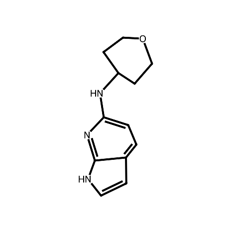 c1cc2ccc(NC3CCOCC3)nc2[nH]1